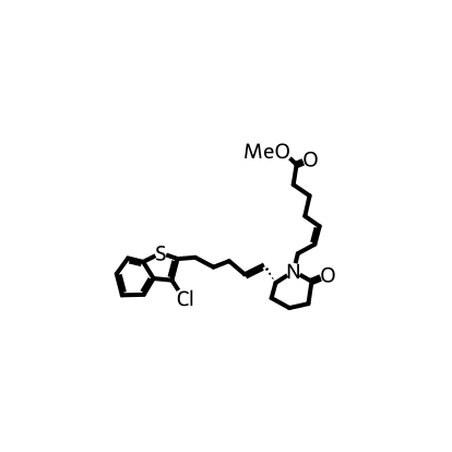 COC(=O)CCC/C=C\CN1C(=O)CCC[C@@H]1/C=C/CCCc1sc2ccccc2c1Cl